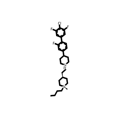 CCCC[Si@]1(C)CC[C@@H](CC[SiH]2CCC(c3ccc(-c4cc(F)c(Cl)c(F)c4)c(F)c3)CC2)CC1